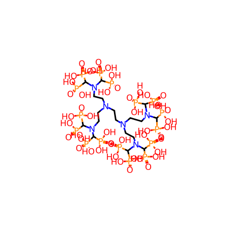 O=P(O)(O)C(N(CCN(CCN(CCN(C(P(=O)(O)O)P(=O)(O)O)C(P(=O)(O)O)P(=O)(O)O)CCN(C(P(=O)(O)O)P(=O)(O)O)C(P(=O)(O)O)P(=O)(O)O)CCN(C(P(=O)(O)O)P(=O)(O)O)C(P(=O)(O)O)P(=O)(O)O)C(P(=O)(O)O)P(=O)(O)O)P(=O)(O)O